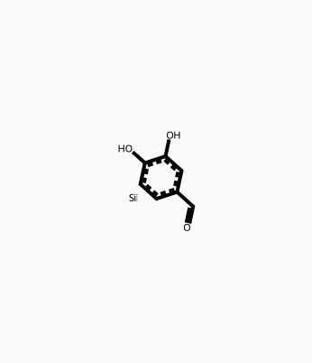 O=Cc1ccc(O)c(O)c1.[Si]